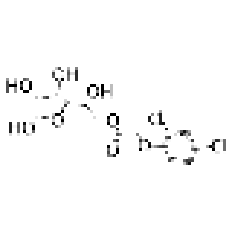 O=C(COc1ccc(Cl)cc1Cl)OC[C@@H](O)[C@H]1O[C@H](O)[C@H](O)[C@H]1O